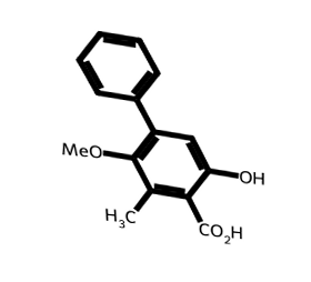 COc1c(-c2ccccc2)cc(O)c(C(=O)O)c1C